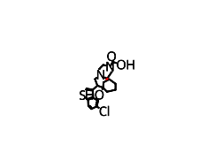 O=C(O)N1CCN(CC(c2csc3ccc(Cl)cc23)C2(O)CCCCC2)CC1